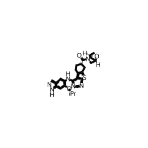 CC(C)Oc1cc2[nH]ncc2cc1Nc1ncnc2sc3c(c12)CC[C@H](C(=O)N1C[C@H]2C[C@@H]1CO2)C3